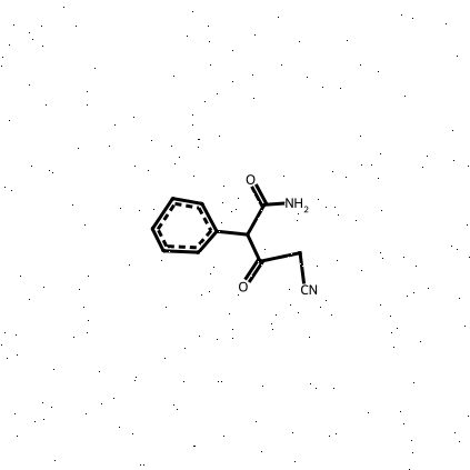 N#CCC(=O)C(C(N)=O)c1ccccc1